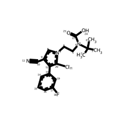 CC(C)(C)N(CCn1cc(C#N)c(-c2cccc(F)c2)c1Cl)C(=O)O